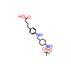 CC(C)(C)S(=O)(=O)NC1CCC(CNc2ccc(CCCC(=O)O)cc2)CC1